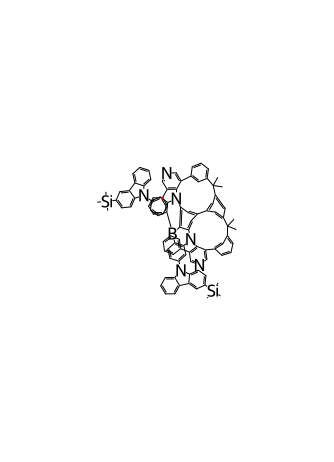 CC1(C)c2cccc(c2)-c2cncc(-c3ccccc3)c2N2c3cc(-n4c5ccccc5c5cc([Si](C)(C)C)ccc54)ccc3B3c4ccc(-n5c6ccccc6c6cc([Si](C)(C)C)ccc65)cc4N4c5cc(cc2c53)-c2cc1cc(c2)C(C)(C)c1cccc(c1)-c1cncc(-c2ccccc2)c14